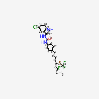 CCCC(CCCCc1ccc(NC(=O)Nc2c[nH]c3ccc(Cl)cc23)cc1)SC(F)(F)F